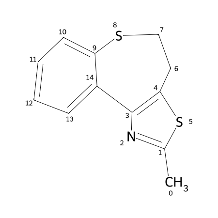 Cc1nc2c(s1)CCSc1ccccc1-2